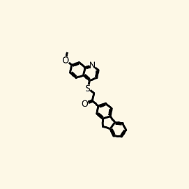 COc1ccc2c(SCC(=O)c3ccc4c(c3)Cc3ccccc3-4)ccnc2c1